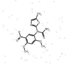 COc1cc(OC)c([N+](=O)[O-])cc1N(C(N)=O)c1ncc(C)s1